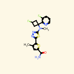 Cc1cc(C(N)=O)sc1-c1nnc(N(C)C2(c3ncccc3F)CC(F)C2)s1